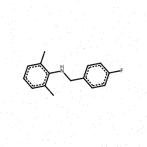 Cc1cccc(C)c1NCc1ccc(F)cc1